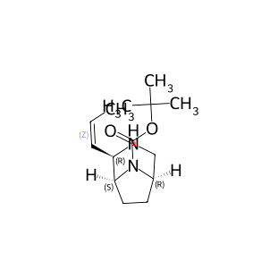 C/C=C\[C@H]1NC[C@H]2CC[C@@H]1N2C(=O)OC(C)(C)C